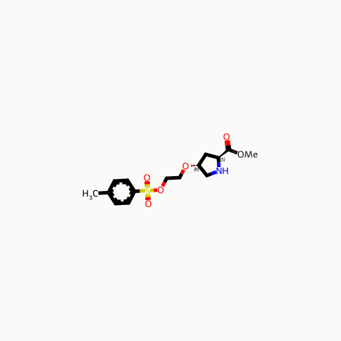 COC(=O)[C@@H]1C[C@@H](OCCOS(=O)(=O)c2ccc(C)cc2)CN1